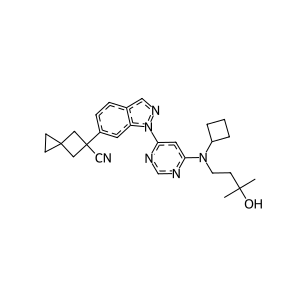 CC(C)(O)CCN(c1cc(-n2ncc3ccc(C4(C#N)CC5(CC5)C4)cc32)ncn1)C1CCC1